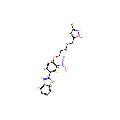 Cc1cc(CCCCCOc2ccc(-c3nc4ccccc4s3)cc2[N+](=O)[O-])on1